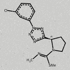 CN=C(SC)N1CCC[C@@H]1c1nnn(-c2cccc(Cl)c2)n1